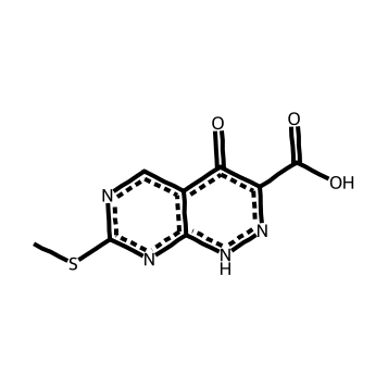 CSc1ncc2c(=O)c(C(=O)O)n[nH]c2n1